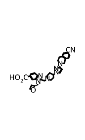 N#Cc1ccc2c(c1)CCN(c1ccn(C3CCN(Cc4nc5ccc(C(=O)O)cc5n4C[C@@H]4CCO4)CC3)n1)C2